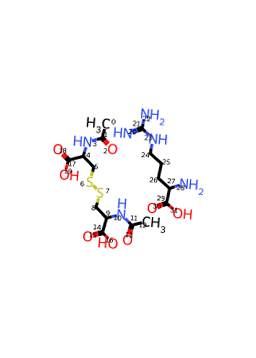 CC(=O)NC(CSSCC(NC(C)=O)C(=O)O)C(=O)O.N=C(N)NCCCC(N)C(=O)O